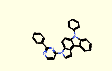 c1ccc(-c2nccc(-n3ccc4c5c6ccccc6n(-c6ccccc6)c5ccc43)n2)cc1